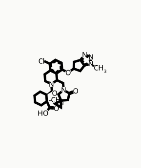 Cn1nnc2c1CC(Oc1ccc(Cl)c3c1C(CN1CC4(CC4)CC1=O)N(C(=O)[C@@H]1CCCC[C@]1(C)C(=O)O)CC3)C2